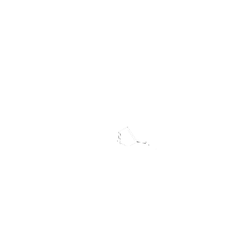 Nc1c[c]ns1